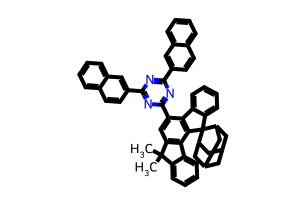 CC1(C)c2ccccc2-c2c1cc(-c1nc(-c3ccc4ccccc4c3)nc(-c3ccc4ccccc4c3)n1)c1c2C2(c3ccccc3-1)C1CC3CC(C1)CC2C3